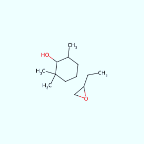 CC1CCCC(C)(C)C1O.CCC1CO1